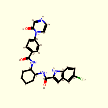 O=C(NC1CCCCC1NC(=O)c1cc2cc(Cl)ccc2[nH]1)c1ccc(-n2ccncc2=O)cc1